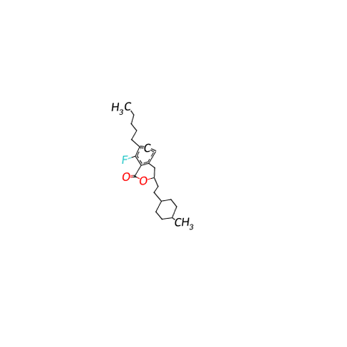 CCCCCc1ccc2c(c1F)C(=O)OC(CCC1CCC(C)CC1)C2